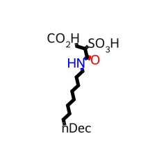 CCCCCCCCCCCCCCCCCCNC(=O)C(CC(=O)O)S(=O)(=O)O